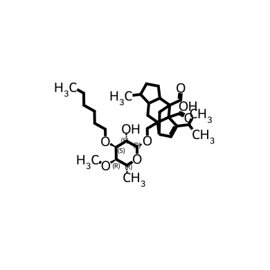 CCCCCCO[C@H]1[C@H](O)[C@H](OCC23CC4C(C)CCC4C4(C=O)CC2C=C(C(C)C)C43C(=O)O)O[C@H](C)[C@H]1OC